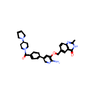 Cc1nc2ccc(COc3cc(-c4ccc(C(=O)N5CCC(N6CCCC6)CC5)cc4)cnc3N)cc2c(=O)[nH]1